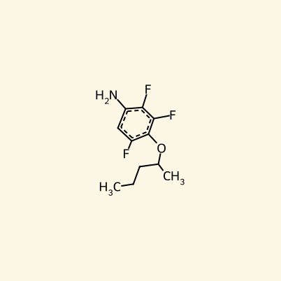 CCCC(C)Oc1c(F)cc(N)c(F)c1F